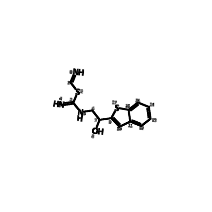 N=CSC(=N)NCC(O)c1cc2ccccc2s1